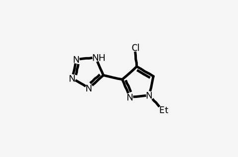 CCn1cc(Cl)c(-c2nnn[nH]2)n1